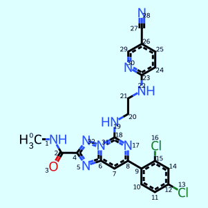 CNC(=O)c1nc2cc(-c3ccc(Cl)cc3Cl)nc(NCCNc3ccc(C#N)cn3)n2n1